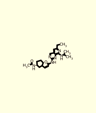 CCc1cc2cnc(NC(=O)/C=C\C3CCC[C@@H](NC(C)=O)C3)nc2c(NC(C)C)n1